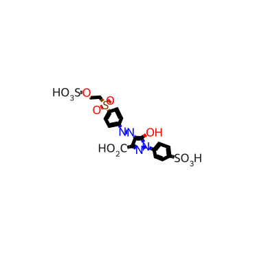 O=C(O)c1nn(-c2ccc(S(=O)(=O)O)cc2)c(O)c1/N=N/c1ccc(S(=O)(=O)CCOS(=O)(=O)O)cc1